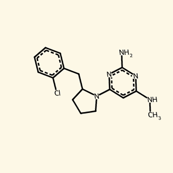 CNc1cc(N2CCCC2Cc2ccccc2Cl)nc(N)n1